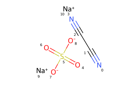 N#CC#N.O=S(=O)([O-])[O-].[Na+].[Na+]